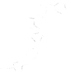 COc1ccc(CN2CCC(c3cnc4nc(C(=O)N5CCN(Cc6ccc(C(F)(F)F)cc6)CC5)[nH]c4c3)CC2)cn1